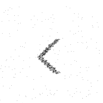 O=S(=O)([O-])[O-].O=S(=O)([O-])[O-].O=S(=O)([O-])[O-].O=S(=O)([O-])[O-].O=S(=O)([O-])[O-].[Ca+2].[Ca+2].[Cd+2].[Cd+2].[Cu+2].[Cu+2].[O]=[Cr](=[O])([O-])[O-].[O]=[Cr](=[O])([O-])[O-].[O]=[Cr](=[O])([O-])[O-].[O]=[Cr](=[O])([O-])[O-].[O]=[Cr](=[O])([O-])[O-].[Sn+4].[Sn+4]